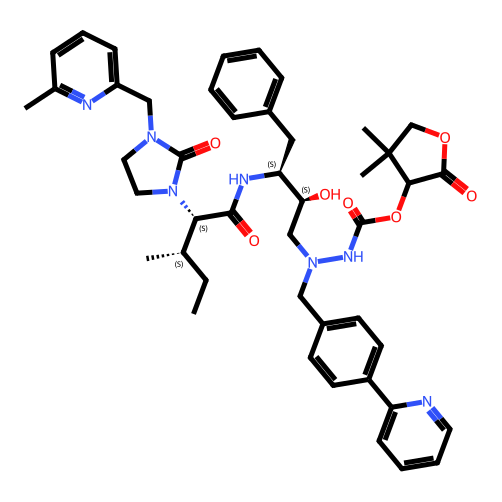 CC[C@H](C)[C@@H](C(=O)N[C@@H](Cc1ccccc1)[C@@H](O)CN(Cc1ccc(-c2ccccn2)cc1)NC(=O)OC1C(=O)OCC1(C)C)N1CCN(Cc2cccc(C)n2)C1=O